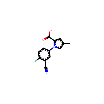 Cc1cc(C(=O)O)n(-c2ccc(F)c(C#N)c2)c1